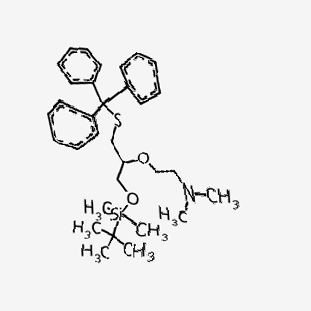 CN(C)CCOC(CO[Si](C)(C)C(C)(C)C)CSC(c1ccccc1)(c1ccccc1)c1ccccc1